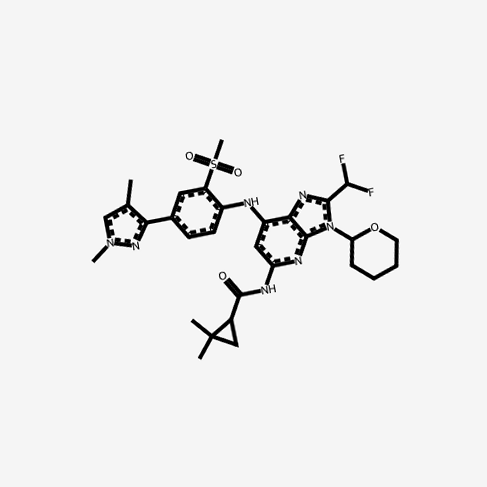 Cc1cn(C)nc1-c1ccc(Nc2cc(NC(=O)C3CC3(C)C)nc3c2nc(C(F)F)n3C2CCCCO2)c(S(C)(=O)=O)c1